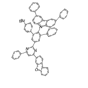 CC(C)(C)c1ccc(-c2cc(-c3nc(-c4ccccc4)cc(-c4ccc5c(c4)oc4ccccc45)n3)cc(-c3ccccc3)c2-n2c3ccc(-c4ccccc4)cc3c3cc(-c4ccccc4)ccc32)cc1